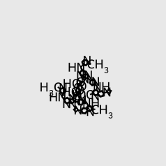 Cc1cc(Nc2cnc3c(c2)nc(-c2ccc(Nc4cc(C)nc5ccc(N6CCC6)cc45)nc2)n3COP(=O)(O)OOP(=O)(O)OCn2c(-c3ccc(Nc4cc(C)nc5ccc(N6CCC6)cc45)nc3)nc3ncc(Nc4ccnc(C)c4)cc32)ccn1